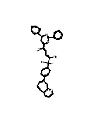 CCC(CC)(/C(C)=C/C=C(\C)c1nc(-c2ccccc2)nc(-c2ccccc2)n1)c1ccc(C2=CC=Cc3cccnc3C2)cc1